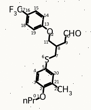 CCCOc1ccc(SCC(CC=O)COc2ccc(C(F)(F)F)cc2)cc1C